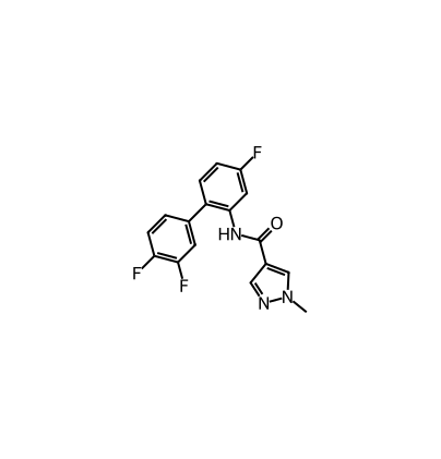 Cn1cc(C(=O)Nc2cc(F)ccc2-c2ccc(F)c(F)c2)cn1